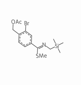 CSC(=NC[Si](C)(C)C)c1ccc(COC(C)=O)c(Br)c1